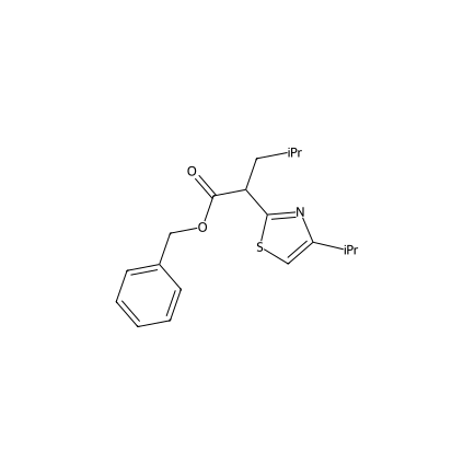 CC(C)CC(C(=O)OCc1ccccc1)c1nc(C(C)C)cs1